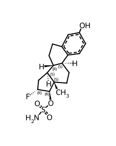 C[C@]12CC[C@@H]3c4ccc(O)cc4CC[C@H]3[C@@H]1C[C@@H](F)[C@@H]2OS(N)(=O)=O